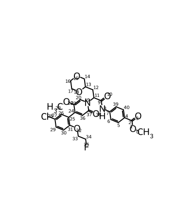 COC(=O)c1ccc(NC(=O)C(CC2COCCO2)n2cc(OC)c(-c3cc(Cl)ccc3OCCF)cc2=O)cc1